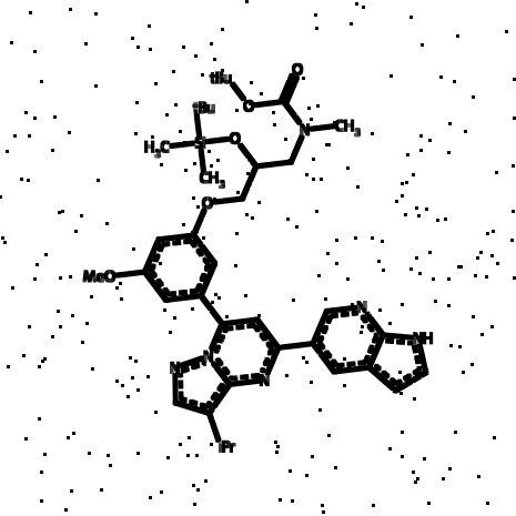 COc1cc(OCC(CN(C)C(=O)OC(C)(C)C)O[Si](C)(C)C(C)(C)C)cc(-c2cc(-c3cnc4[nH]ccc4c3)nc3c(C(C)C)cnn23)c1